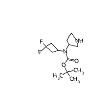 CC(C)(C)OC(=O)N(C1CCNC1)C1CC(F)(F)C1